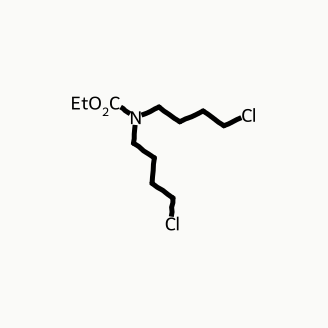 CCOC(=O)N(CCCCCl)CCCCCl